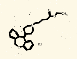 CCOC(=O)CCCCN1CCC(=C2c3ccccc3COc3ccccc32)CC1.Cl